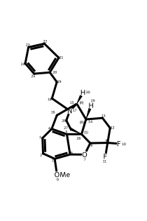 COc1ccc2c3c1OC1C(F)(F)CC[C@H]4[C@@H](C2)N(CCc2ccccc2)CC[C@]314